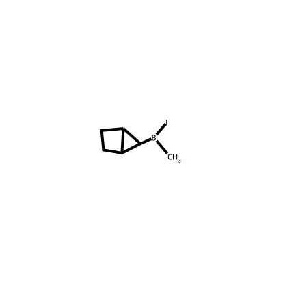 CB(I)C1C2CCC21